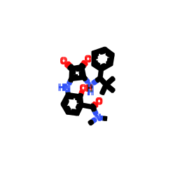 CN(C)C(=O)c1cccc(Nc2c(NC(c3ccccc3)C(C)(C)C)c(=O)c2=O)c1O